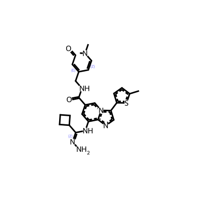 Cc1ccc(-c2cnc3c(N/C(=N\N)C4CCC4)cc(C(=O)NCC(/C=C\N(C)C)=C/C=O)cn23)s1